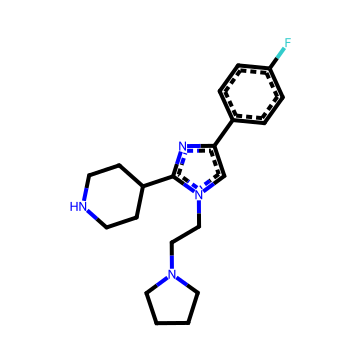 Fc1ccc(-c2cn(CCN3CCCC3)c(C3CCNCC3)n2)cc1